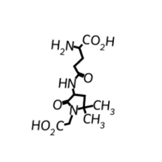 CC1(C)CC(NC(=O)CCC(N)C(=O)O)C(=O)N1CC(=O)O